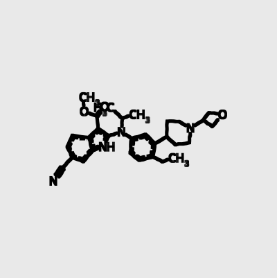 CCc1ccc(N(c2[nH]c3cc(C#N)ccc3c2C(=O)OC)C(C)C)cc1C1CCN(C2COC2)CC1